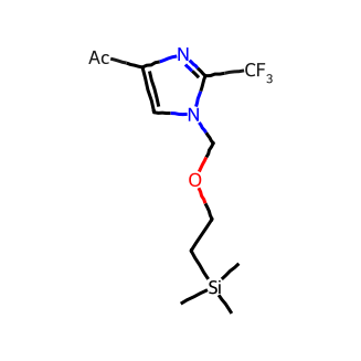 CC(=O)c1cn(COCC[Si](C)(C)C)c(C(F)(F)F)n1